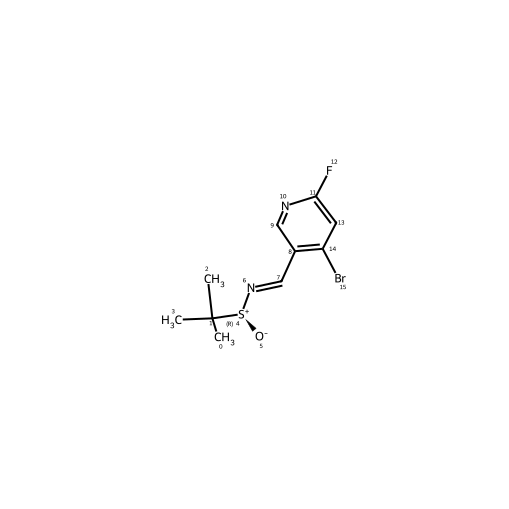 CC(C)(C)[S@+]([O-])N=Cc1cnc(F)cc1Br